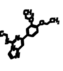 CCOc1ccc(-c2cc3nccn3c(SCC)n2)cc1OCC